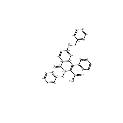 O=C(O)c1c(-c2ccccc2)c2cc(OCc3ccccc3)ccc2c(=O)n1Cc1ccccc1